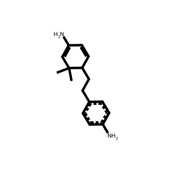 CC1(C)C=C(N)C=CC1CCc1ccc(N)cc1